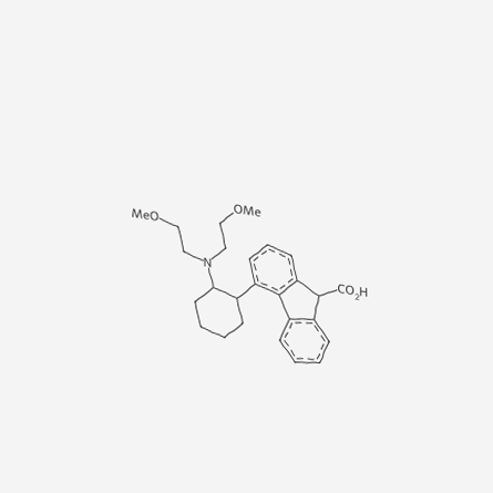 COCCN(CCOC)C1CCCCC1c1cccc2c1-c1ccccc1C2C(=O)O